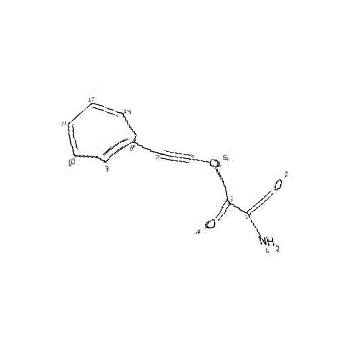 NC(=O)C(=O)OC#Cc1ccccc1